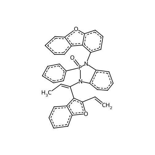 C=Cc1oc2ccccc2c1/C(=C\C)N1c2ccccc2N(c2cccc3oc4ccccc4c23)P1(=O)c1ccccc1